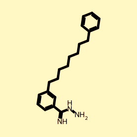 N=C(NN)c1cccc(CCCCCCCCc2ccccc2)c1